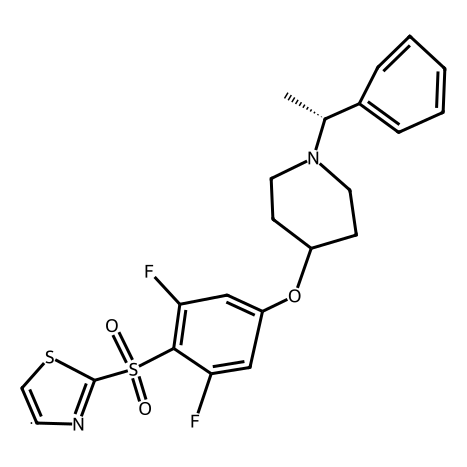 C[C@H](c1ccccc1)N1CCC(Oc2cc(F)c(S(=O)(=O)c3n[c]cs3)c(F)c2)CC1